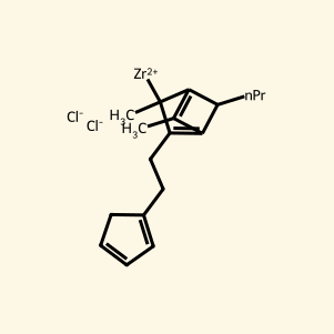 CCCC1C2=C(CCC3=CC=CC3)[C](C)([Zr+2])C1=C2C.[Cl-].[Cl-]